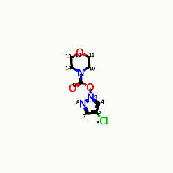 O=C(On1cc(Cl)cn1)N1CCOCC1